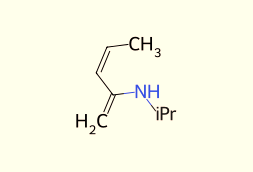 C=C(/C=C\C)NC(C)C